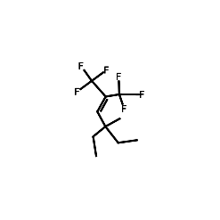 CCC(C)(C=C(C(F)(F)F)C(F)(F)F)CC